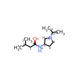 CC(C)CC(=O)N[C@@H]1CCN(C(C)C)C1